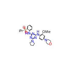 COc1cc(N2CCOCC2)ccc1Nc1nc(Nc2ccccc2S(=O)(=O)C(C)C)nc(N2CCCC2)n1